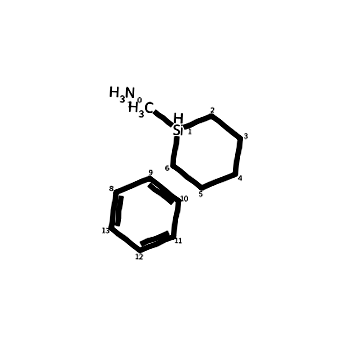 C[SiH]1CCCCC1.N.c1ccccc1